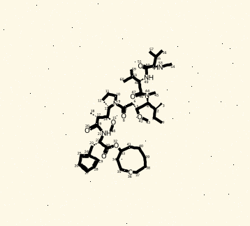 CC[C@H](C)[C@@H]([C@@H](CC(=O)N1CCC[C@H]1[C@H](OC)[C@@H](C)C(=O)N[C@@H](Cc1ccccc1)C(=O)OC1CCCCCCCC1)OC)N(C)C(=O)[C@@H](NC(=O)[C@@H](NC)C(C)C)C(C)C